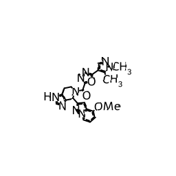 COc1cccn2nc(C3c4nc[nH]c4CCN3C(=O)c3nnc(-c4cnn(C)c4C)o3)cc12